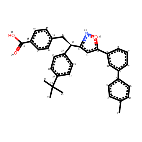 Cc1ccc(-c2cccc(-c3cc([C@H](Cc4ccc(C(=O)O)cc4)c4ccc(C(C)(C)C)cc4)no3)c2)cc1